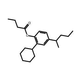 CCCC(=O)Oc1ccc(C(C)CCC)cc1C1CCCCC1